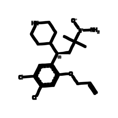 C=CCOc1cc(Cl)c(Cl)cc1[C@H](CC(C)(C)[S+](N)[O-])C1CCNCC1